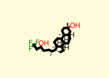 C[C@H](CC[C@@H](O)CC(F)(F)F)[C@H]1CC[C@H]2[C@@H]3CC[C@H]4C[C@@](C)(O)CC[C@]4(C)[C@H]3CC[C@]12C